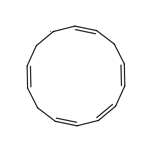 [CH]1C=CCC=CC=CC=CCC=CC1